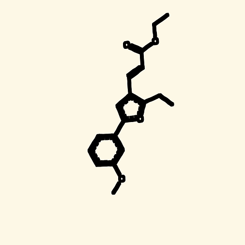 CCOC(=O)/C=C/c1cc(-c2cccc(OC)c2)oc1CC